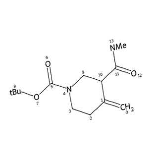 C=C1CCN(C(=O)OC(C)(C)C)CC1C(=O)NC